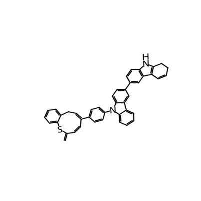 C=C1/C=C\C(c2ccc(-n3c4ccccc4c4cc(-c5ccc6[nH]c7c(c6c5)C=CCC7)ccc43)cc2)=C/Cc2ccccc2S1